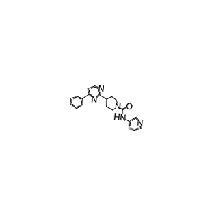 O=C(Nc1cccnc1)N1CCC(c2nccc(-c3ccccc3)n2)CC1